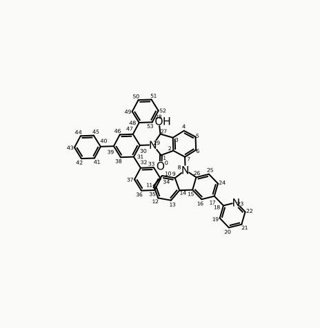 O=C1c2c(cccc2-n2c3ccccc3c3cc(-c4ccccn4)ccc32)C(O)N1c1c(-c2ccccc2)cc(-c2ccccc2)cc1-c1ccccc1